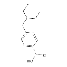 CCC(CC)Cc1ccc(C(=O)O)cc1